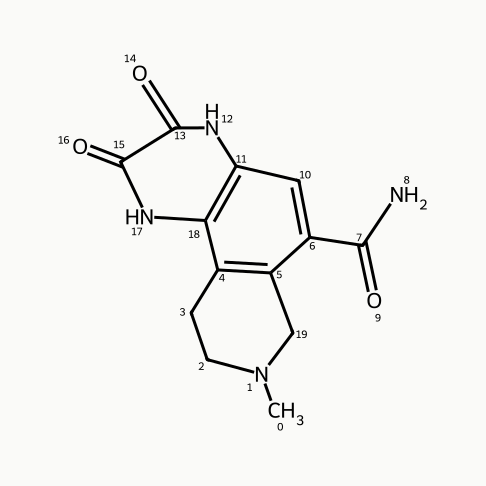 CN1CCc2c(c(C(N)=O)cc3[nH]c(=O)c(=O)[nH]c23)C1